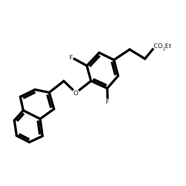 CCOC(=O)CCc1cc(F)c(OCc2ccc3ccccc3c2)c(F)c1